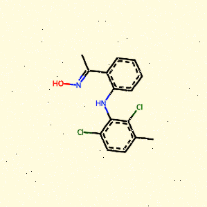 CC(=NO)c1ccccc1Nc1c(Cl)ccc(C)c1Cl